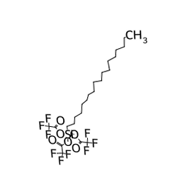 CCCCCCCCCCCCCCCCCC[Si](OC(=O)C(F)(F)F)(OC(=O)C(F)(F)F)OC(=O)C(F)(F)F